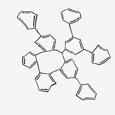 c1ccc(-c2cc(-c3ccccc3)cc(-n3c4ccc(-c5ccccc5)cc4c4ccccc4c4ccccc4c4cc(-c5ccccc5)ccc43)c2)cc1